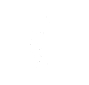 CCOC(=O)C1CCOc2cc(Oc3ccc(C(=O)NCCc4ccccc4)cc3)c(Cl)cc21